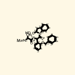 CNC(C)C(=O)NC(C(=O)N1c2ccccc2CC1C(=O)O)c1ccccc1OCc1ccccc1